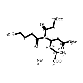 CCCCCCCCCCCCCC(=O)N(C(=O)CCCCCCCCCCC)C(CC(=O)OC)N[C@@H](C)C(=O)[O-].[Na+]